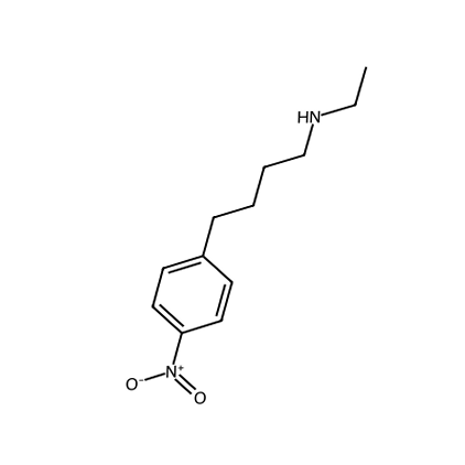 CCNCCCCc1ccc([N+](=O)[O-])cc1